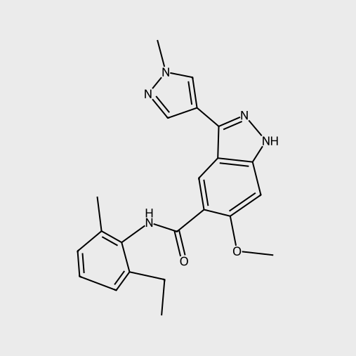 CCc1cccc(C)c1NC(=O)c1cc2c(-c3cnn(C)c3)n[nH]c2cc1OC